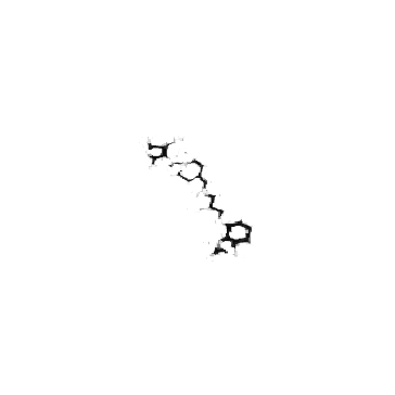 O=c1[nH]c2cccc(OC[C@@H](O)CNCC3CCN(S(=O)(=O)c4c(Cl)sc(Cl)c4Br)CC3)c2[nH]1